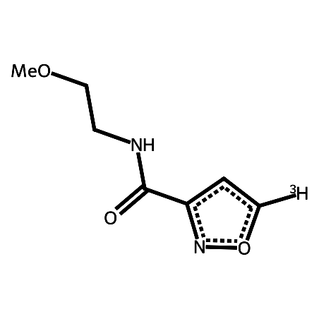 [3H]c1cc(C(=O)NCCOC)no1